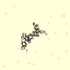 CCN1C(=O)N(c2ccc(C(F)(F)F)cc2)C(=O)C12CCN(c1cnc3c(C)nn(CC(F)F)c3n1)CC2